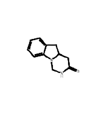 O=C1CC2Cc3ccccc3N2CN1